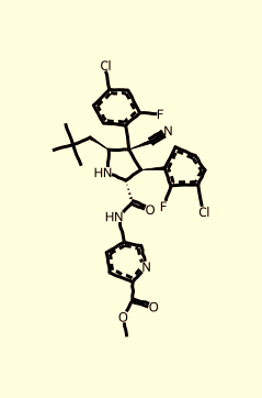 COC(=O)c1ccc(NC(=O)[C@@H]2N[C@@H](CC(C)(C)C)[C@](C#N)(c3ccc(Cl)cc3F)[C@H]2c2cccc(Cl)c2F)cn1